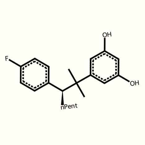 CCCCC[C@@H](c1ccc(F)cc1)C(C)(C)c1cc(O)cc(O)c1